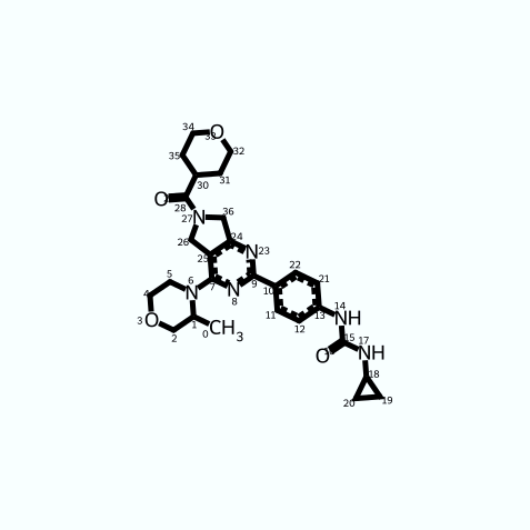 CC1COCCN1c1nc(-c2ccc(NC(=O)NC3CC3)cc2)nc2c1CN(C(=O)C1CCOCC1)C2